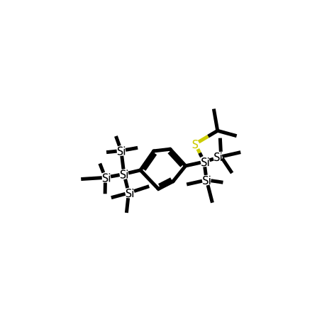 CC(C)S[Si](c1ccc([Si]([Si](C)(C)C)([Si](C)(C)C)[Si](C)(C)C)cc1)([Si](C)(C)C)[Si](C)(C)C